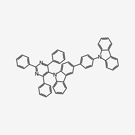 c1ccc(-c2nc(-c3ccccc3)c(-n3c4ccccc4c4cc(-c5ccc(-n6c7ccccc7c7ccccc76)cc5)ccc43)c(-c3ccccc3)n2)cc1